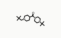 CC(C)(C)CN1CCC(C(=O)N2CCN(C(C)(C)C)CC2)CC1